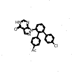 CC(=O)c1ccc(-c2c(-c3ccc(Cl)cc3)cccc2-n2ncc3c(=O)[nH]cnc32)cc1